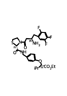 CCOC(=O)[C@@H](Oc1ccc(CNC(=O)[C@@H]2SCCN2C(=O)C[C@H](N)Cc2cc(F)c(F)cc2F)cc1)C(C)C